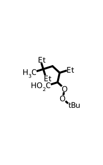 CCC(CC(C)(CC)CC)C(OOC(C)(C)C)C(=O)O